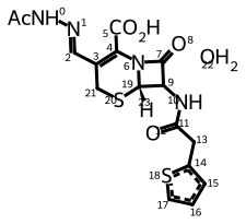 CC(=O)NN=CC1=C(C(=O)O)N2C(=O)C(NC(=O)Cc3cccs3)[C@@H]2SC1.O